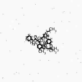 CCCn1cc(CO[C@H](c2ccc(C)c(CN3CC(C)(C)Oc4ccccc4S3(=O)=O)c2)C(C)(C)C(=O)Nc2cccnc2)nn1